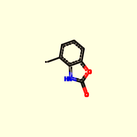 [CH2]c1cccc2oc(=O)[nH]c12